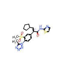 Cc1nnnn1-c1ccc(/C(=C\C2CCCC2)C(=O)Nc2nccs2)cc1S(C)(=O)=O